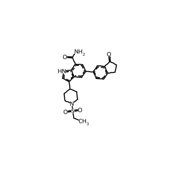 CCS(=O)(=O)N1CCC(c2c[nH]c3c(C(N)=O)cc(-c4ccc5c(c4)C(=O)CC5)cc23)CC1